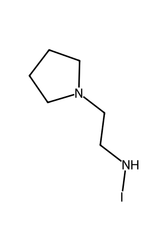 INCCN1CCCC1